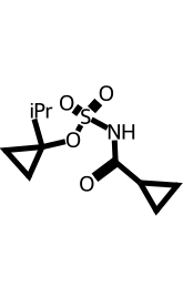 CC(C)C1(OS(=O)(=O)NC(=O)C2CC2)CC1